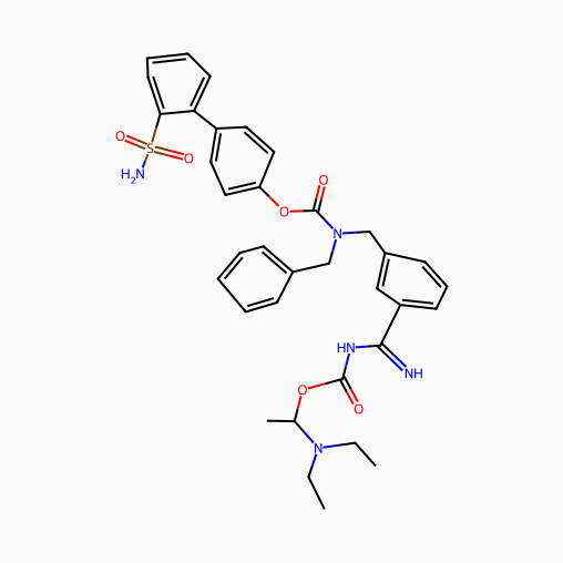 CCN(CC)C(C)OC(=O)NC(=N)c1cccc(CN(Cc2ccccc2)C(=O)Oc2ccc(-c3ccccc3S(N)(=O)=O)cc2)c1